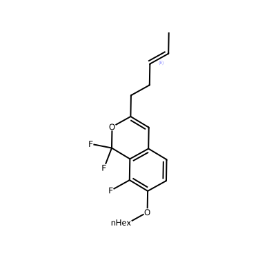 C/C=C/CCC1=Cc2ccc(OCCCCCC)c(F)c2C(F)(F)O1